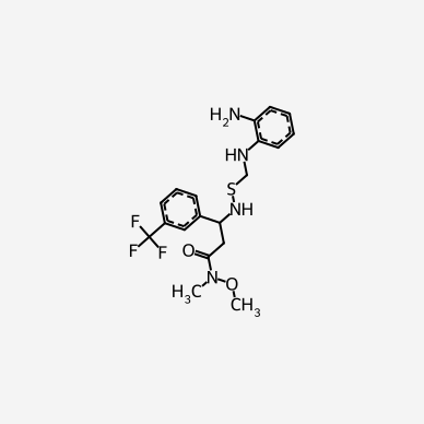 CON(C)C(=O)CC(NSCNc1ccccc1N)c1cccc(C(F)(F)F)c1